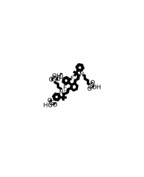 COc1cc(F)c(C2=C(/C=C/C3=[N+](CCCCS(=O)(=O)O)c4ccc(S(=O)(=O)O)cc4C3(C)C)CCC/C2=C\C=C2\N(CCCCS(=O)(=O)O)c3ccccc3C2(C)C)c(F)c1